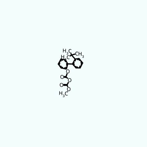 COC(=O)OC(=O)Oc1ccccc1-c1ccccc1C(C)(C)C